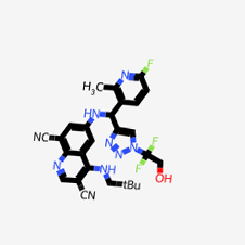 Cc1nc(F)ccc1C(Nc1cc(C#N)c2ncc(C#N)c(NCC(C)(C)C)c2c1)c1cn(C(F)(F)CO)nn1